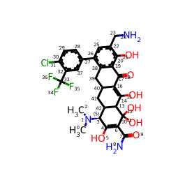 CN(C)[C@@H]1C(O)=C(C(N)=O)C(O)(O)C2C(O)=C3C(=O)c4c(O)c(CN)cc(-c5ccc(Cl)c(C(F)(F)F)c5)c4CC3CC21